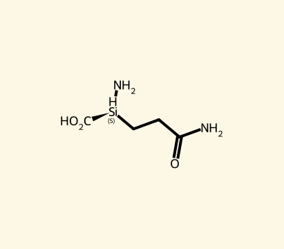 NC(=O)CC[Si@H](N)C(=O)O